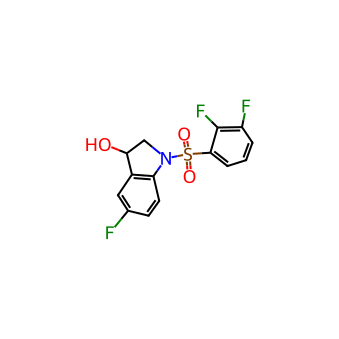 O=S(=O)(c1cccc(F)c1F)N1CC(O)c2cc(F)ccc21